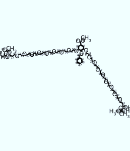 COC(=O)C1=CC(OCCOCCOCCOCCOCCOCCOCCOCCOCCC(O)OC(C)(C)C)=C(OCc2ccccc2)C(OCCOCCOCCOCCOCCOCCOCCOCCOCCC(O)OC(C)(C)C)C1